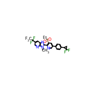 CCS(=O)(=O)c1cc(-c2ccc(C3CC3(F)F)cc2)cnc1-c1nc2cc(C(F)(F)C(F)(F)F)cnc2n1C